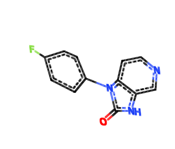 O=c1[nH]c2cnccc2n1-c1ccc(F)cc1